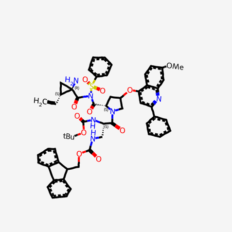 C=C[C@@H]1C[C@]1(N)C(=O)N(C(=O)[C@@H]1CC(Oc2cc(-c3ccccc3)nc3cc(OC)ccc23)CN1C(=O)[C@H](CNC(=O)OCC1c2ccccc2-c2ccccc21)NC(=O)OC(C)(C)C)S(=O)(=O)c1ccccc1